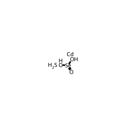 O=[Se](O)O.S.[Cd]